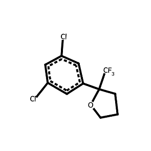 FC(F)(F)C1(c2cc(Cl)cc(Cl)c2)CCCO1